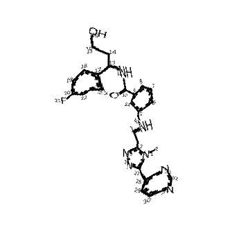 Cn1c(CNc2cccc(C(=O)NC(CCO)c3ccc(F)cc3)c2)nnc1-c1ccncn1